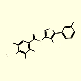 COc1c(F)cc(C(=O)Nc2csc(-c3cccc(I)c3)c2C(=O)O)c(F)c1F